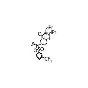 CC(C)C[C@H](NC(C)C)C(=O)N1CCCC(N(C2CC2)S(=O)(=O)c2cccc(C(F)(F)F)c2)C1